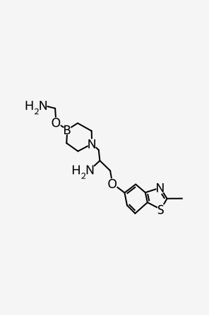 Cc1nc2cc(OCC(N)CN3CCB(OCN)CC3)ccc2s1